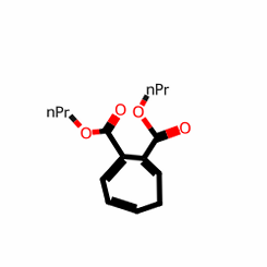 CCCOC(=O)C1=CC=CCC=C1C(=O)OCCC